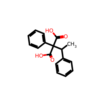 CC(c1ccccc1)C(C(=O)O)(C(=O)O)c1ccccc1